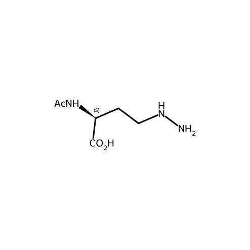 CC(=O)N[C@@H](CCNN)C(=O)O